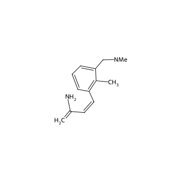 C=C(N)/C=C\c1cccc(CNC)c1C